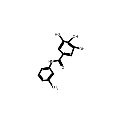 Cc1cccc(NC(=O)c2cc(O)c(O)c(O)c2)c1